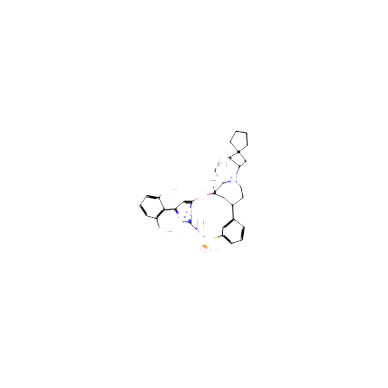 Cc1cccc(C)c1-c1cc2nc(n1)NS(=O)(=O)c1cccc(c1)C1CCN(C3CC4(CCCC4)C3)[C@H](CC(C)C)[C@H](C1)O2